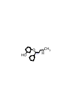 CNC/C=C(\Oc1cccc(O)c1)c1ccccc1